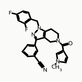 Cn1ccc(C(=O)N2CCc3c(c(-c4cccc(C#N)c4)nn3Cc3ccc(F)cc3F)C2)c1